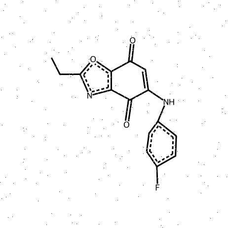 CCc1nc2c(o1)C(=O)C=C(Nc1ccc(F)cc1)C2=O